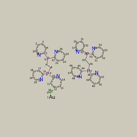 [Br][Au].c1ccc(P(CCP(c2ccccn2)c2ccccn2)c2ccccn2)nc1.c1ccc(P(CCP(c2ccccn2)c2ccccn2)c2ccccn2)nc1